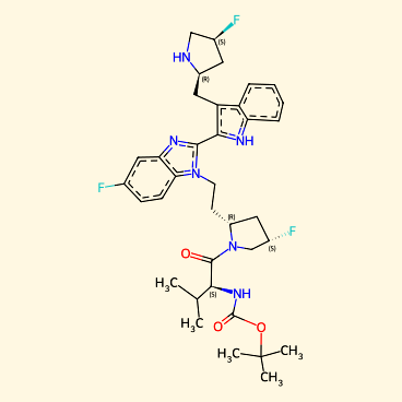 CC(C)[C@H](NC(=O)OC(C)(C)C)C(=O)N1C[C@@H](F)C[C@H]1CCn1c(-c2[nH]c3ccccc3c2C[C@@H]2C[C@H](F)CN2)nc2cc(F)ccc21